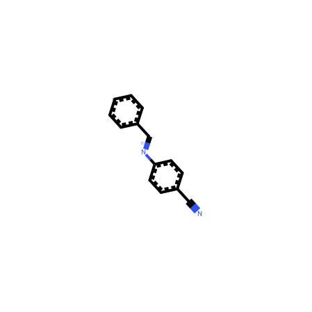 N#Cc1ccc(/N=C/c2cc[c]cc2)cc1